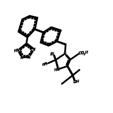 CCCC1(CC)NC(C(C)(C)O)=C(C(=O)O)N1Cc1ccc(-c2ccccc2-c2nnn[nH]2)cc1